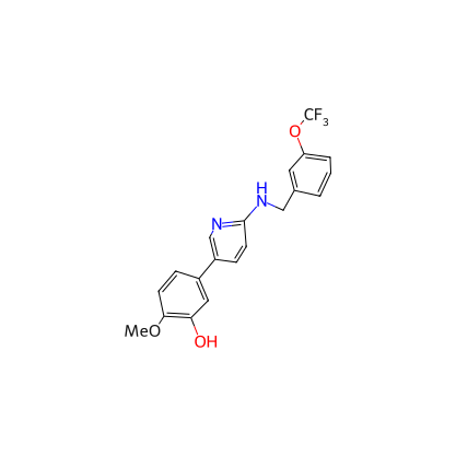 COc1ccc(-c2ccc(NCc3cccc(OC(F)(F)F)c3)nc2)cc1O